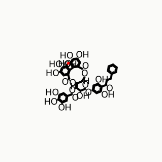 O=C(O[C@@H]1[C@@H](O)[C@H](Oc2cc(O)c(C(=O)CCc3ccccc3)c(O)c2)O[C@@H]2COC(=O)c3cc(O)c(O)c(O)c3-c3c(cc(O)c(O)c3O)C(=O)O[C@@H]12)c1cc(O)c(O)c(O)c1